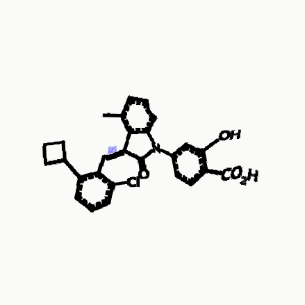 Cc1cccc2c1/C(=C/c1c(Cl)cccc1C1CCC1)C(=O)N2c1ccc(C(=O)O)c(O)c1